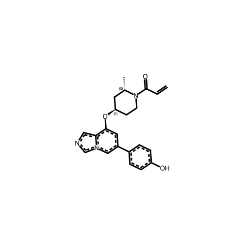 C=CC(=O)N1CC[C@@H](Oc2cc(-c3ccc(O)cc3)cn3cncc23)C[C@@H]1C